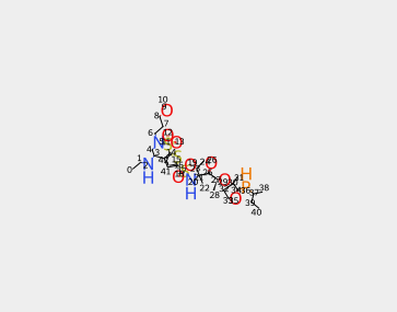 CCN[C@H]1CN(CCCOC)S(=O)(=O)c2sc(S(=O)(=O)NC(C)(CC)C(=O)[C@H](C)OC(C)(CC)C(=O)PC(C)CC)cc21